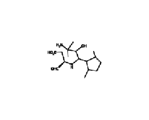 CC1CCC(C)C1C(N[C@@H](C=O)CC(=O)O)C(O)C(C)(C)N